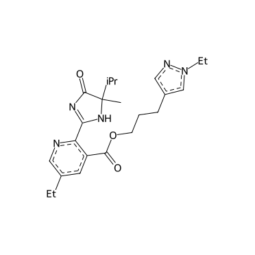 CCc1cnc(C2=NC(=O)C(C)(C(C)C)N2)c(C(=O)OCCCc2cnn(CC)c2)c1